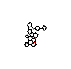 c1ccc(-c2ccc(-n3c4ccccc4c4ccc5c(c43)-c3ccccc3C53c4ccccc4C(c4ccccc4-c4ccccc4)c4ccccc43)cc2)cc1